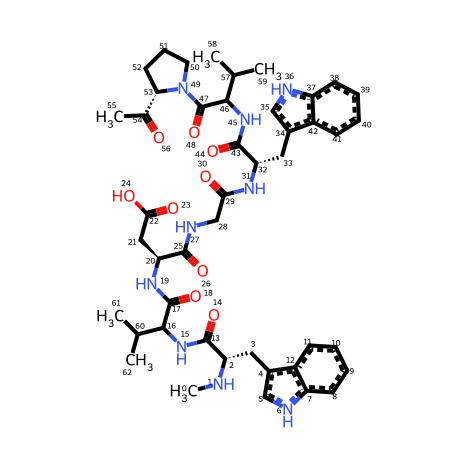 CN[C@@H](Cc1c[nH]c2ccccc12)C(=O)NC(C(=O)N[C@@H](CC(=O)O)C(=O)NCC(=O)N[C@@H](Cc1c[nH]c2ccccc12)C(=O)NC(C(=O)N1CCC[C@H]1C(C)=O)C(C)C)C(C)C